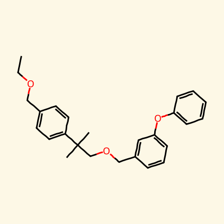 CCOCc1ccc(C(C)(C)COCc2cccc(Oc3ccccc3)c2)cc1